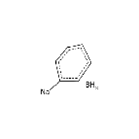 B.[Na][c]1ccccc1